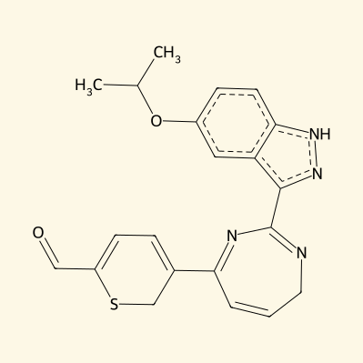 CC(C)Oc1ccc2[nH]nc(C3=NCC=CC(C4=CC=C(C=O)SC4)=N3)c2c1